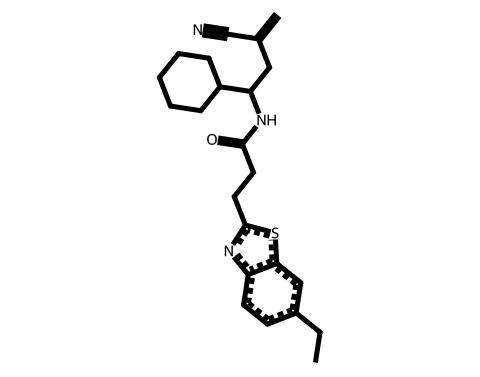 C=C(C#N)CC(NC(=O)CCc1nc2ccc(CC)cc2s1)C1CCCCC1